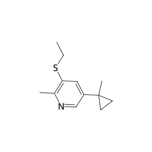 CCSc1cc(C2(C)CC2)cnc1C